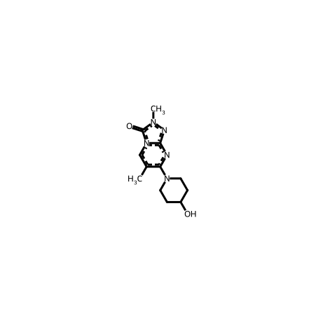 Cc1cn2c(=O)n(C)nc2nc1N1CCC(O)CC1